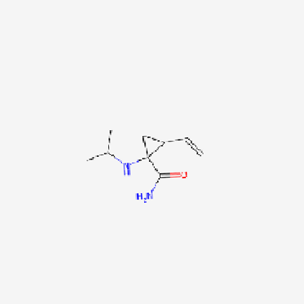 C=CC1CC1(NC(C)C)C(N)=O